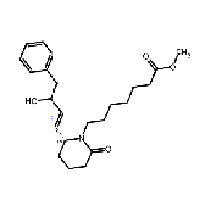 COC(=O)CCCCCCN1C(=O)CCC[C@@H]1/C=C/C(O)Cc1ccccc1